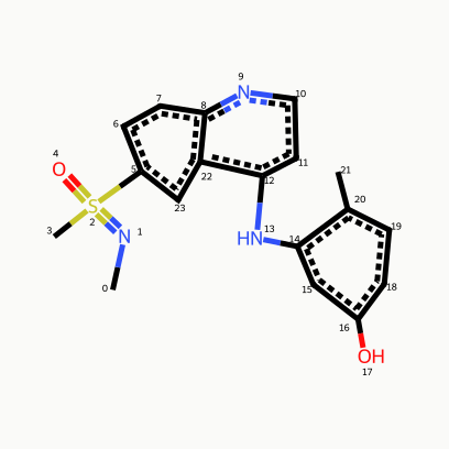 CN=S(C)(=O)c1ccc2nccc(Nc3cc(O)ccc3C)c2c1